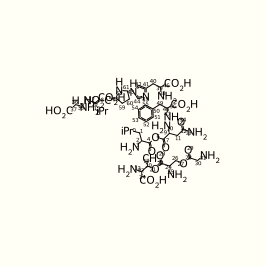 CC(C)C[C@H](N)C(=O)OC(=O)[C@@H](N)CC(N)=O.CC(C)[C@H](N)C(=O)O.C[C@@H](OC(=O)[C@@H](N)COC(=O)CN)[C@H](N)C(=O)O.NCC(=O)O.N[C@@H](Cc1c[nH]cn1)C(=O)O.N[C@@H](Cc1ccccc1)C(=O)O.O=C(O)[C@@H]1CCCN1